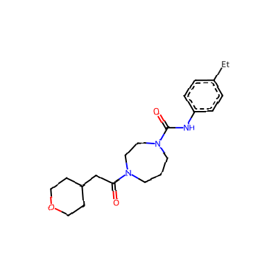 CCc1ccc(NC(=O)N2CCCN(C(=O)CC3CCOCC3)CC2)cc1